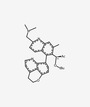 CC(=O)[C@@H](OC(C)(C)C)c1c(C)cc2nc(CN(C)C)ccc2c1-c1ccc2c3c(ccnc13)CCO2